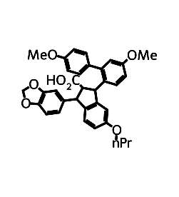 CCCOc1ccc2c(c1)C(c1ccc(OC)cc1-c1ccc(OC)cc1)C(C(=O)O)C2c1ccc2c(c1)OCO2